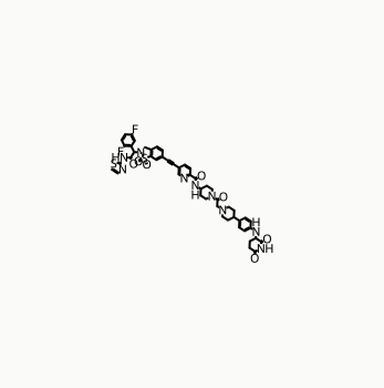 O=C1CCC(Nc2ccc(C3CCN(CC(=O)N4CCC(NC(=O)c5ccc(C#Cc6ccc7c(c6)S(=O)(=O)N(C(C(=O)Nc6nccs6)c6cc(F)ccc6F)C7)cn5)CC4)CC3)cc2)C(=O)N1